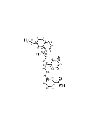 COc1ccc2nccc([C@@H](F)CC[C@@H](CCCN3CCCC(C(=O)O)C3)c3cccc(F)c3)c2c1